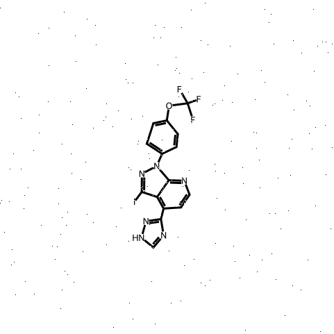 FC(F)(F)Oc1ccc(-n2nc(I)c3c(-c4nc[nH]n4)ccnc32)cc1